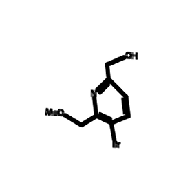 COCc1nc(CO)ccc1Br